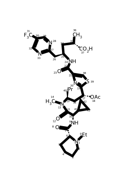 CCN1CCCC[C@@H]1C(=O)N[C@H](C(=O)N(C)[C@H](C[C@@H](OC(C)=O)c1nc(C(=O)N[C@@H](Cc2ncc(C(F)(F)F)cn2)C[C@H](C)C(=O)O)cs1)C(C)C)C1CC1